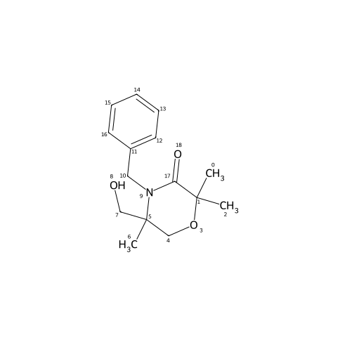 CC1(C)OCC(C)(CO)N(Cc2ccccc2)C1=O